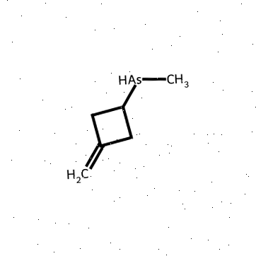 C=C1CC([AsH]C)C1